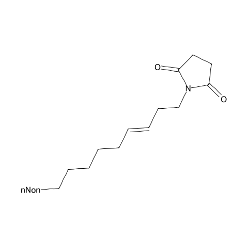 CCCCCCCCCCCCCCC=CCCN1C(=O)CCC1=O